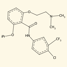 CC(C)Oc1cccc(OCCN(C)C)c1C(=O)Nc1ccc(Cl)c(C(F)(F)F)c1